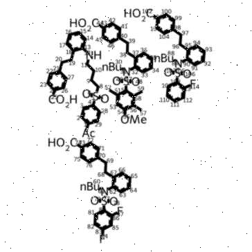 CC(=O)c1ccc(S(=O)(=O)CCCCNc2ccccc2CCc2ccc(C(=O)O)cc2)cc1.CCCCN(c1ccccc1CCc1ccc(C(=O)O)cc1)S(=O)(=O)c1c(C)cc(OC)c(C)c1C.CCCCN(c1ccccc1CCc1ccc(C(=O)O)cc1)S(=O)(=O)c1ccc(F)cc1F.CCCCN(c1ccccc1CCc1ccc(C(=O)O)cc1)S(=O)(=O)c1ccccc1F